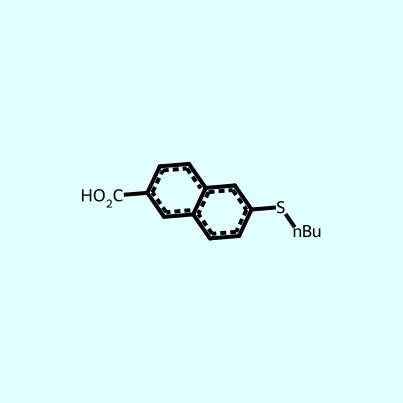 CCCCSc1ccc2cc(C(=O)O)ccc2c1